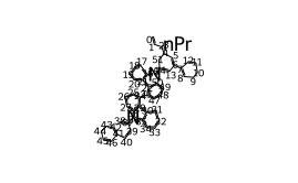 C=CC(CCC)C1C=C(C2=CCCCC2)C=C(n2c3ccccc3c3c(-c4cccc5c4c4ccccc4n5C(=C)/C=C\C4=CCCC=C4)cccc32)C1